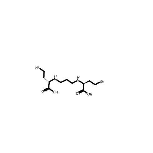 O=C(O)[C@H](CCS)NCCCN[C@@H](CCS)C(=O)O